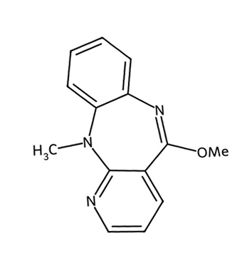 COC1=Nc2ccccc2N(C)c2ncccc21